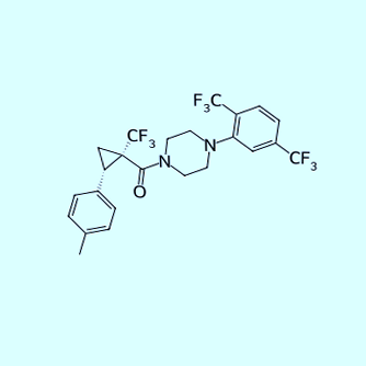 Cc1ccc([C@@H]2C[C@]2(C(=O)N2CCN(c3cc(C(F)(F)F)ccc3C(F)(F)F)CC2)C(F)(F)F)cc1